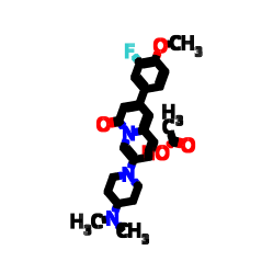 CC(=O)O.COc1ccc(-c2cc(=O)n3cc(N4CCC(N(C)C)CC4)ccc3c2)cc1F